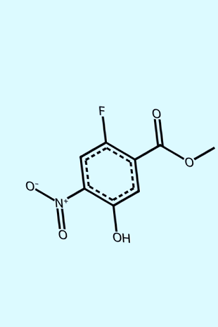 COC(=O)c1cc(O)c([N+](=O)[O-])cc1F